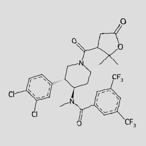 CN(C(=O)c1cc(C(F)(F)F)cc(C(F)(F)F)c1)[C@@H]1CCN(C(=O)C2CC(=O)OC2(C)C)C[C@H]1c1ccc(Cl)c(Cl)c1